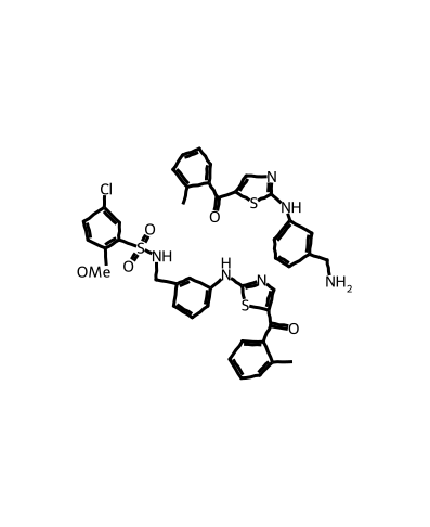 COc1ccc(Cl)cc1S(=O)(=O)NCc1cccc(Nc2ncc(C(=O)c3ccccc3C)s2)c1.Cc1ccccc1C(=O)c1cnc(Nc2cccc(CN)c2)s1